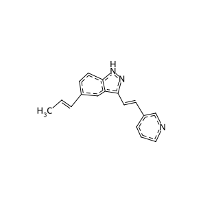 C/C=C/c1ccc2[nH]nc(/C=C/c3cccnc3)c2c1